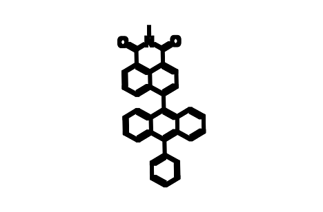 CN1C(=O)c2cccc3c(-c4c5ccccc5c(-c5ccccc5)c5ccccc45)ccc(c23)C1=O